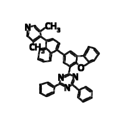 Cc1cncc(C)c1-c1ccc(-c2cc(-c3nc(-c4ccccc4)nc(-c4ccccc4)n3)c3oc4ccccc4c3c2)c2ccccc12